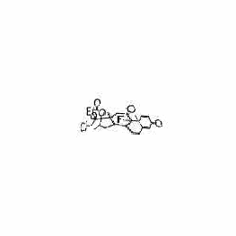 CCC(=O)OC1(C(=O)CCl)C(C)CC2C3CCC4=CC(=O)C=CC4(C)C3(F)C(=O)CC21C